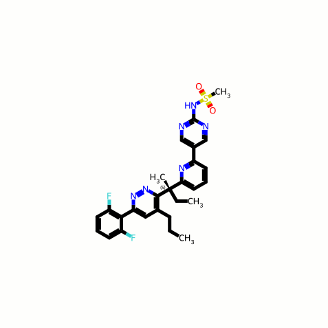 CCCc1cc(-c2c(F)cccc2F)nnc1[C@@](C)(CC)c1cccc(-c2cnc(NS(C)(=O)=O)nc2)n1